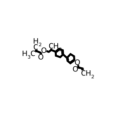 C=CC(=O)OC1=CC=C(C2=CC=C(C(C)COC(=O)C(=C)C)CC2)CC1